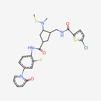 CSN(C)C1CC(C(=O)Nc2ccc(-n3ccccc3=O)cc2F)CC1CNC(=O)c1ccc(Cl)s1